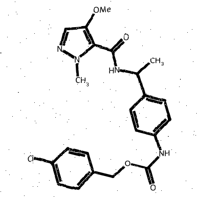 COc1cnn(C)c1C(=O)NC(C)c1ccc(NC(=O)OCc2ccc(Cl)cc2)cc1